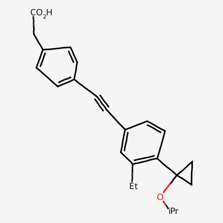 CCc1cc(C#Cc2ccc(CC(=O)O)cc2)ccc1C1(OC(C)C)CC1